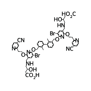 Cc1c(COc2nc(OCCc3cc(C#N)ccn3)c(CNCC(O)CC(=O)O)cc2Br)cccc1-c1cccc(COc2nc(OCCc3cc(C#N)ccn3)c(CNCC(O)CC(=O)O)cc2Br)c1C